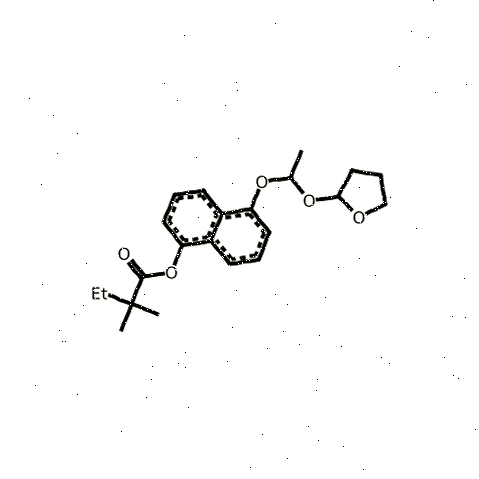 CCC(C)(C)C(=O)Oc1cccc2c(OC(C)OC3CCCO3)cccc12